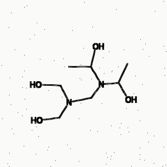 CC(O)N(CN(CO)CO)C(C)O